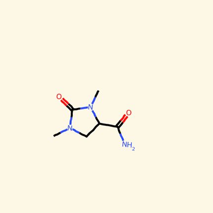 CN1CC(C(N)=O)N(C)C1=O